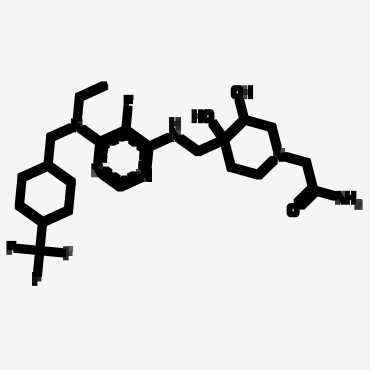 CCN(CC1CCC(C(F)(F)F)CC1)c1ncnc(NCC2(O)CCN(CC(N)=O)CC2O)c1F